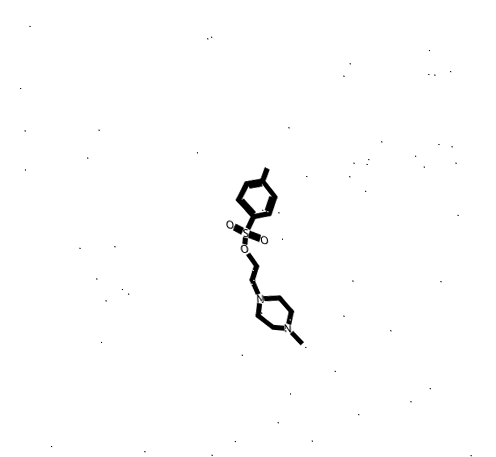 Cc1ccc(S(=O)(=O)OCCN2CCN(C)CC2)cc1